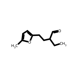 CCC(C=O)CCc1ccc(C)o1